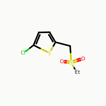 CCS(=O)(=O)Cc1ccc(Cl)s1